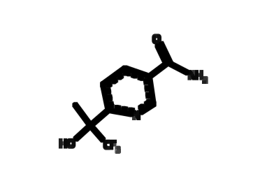 CC(O)(c1ccc(C(N)=O)cn1)C(F)(F)F